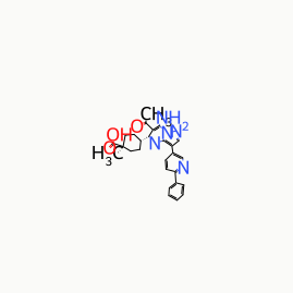 CC(=O)c1c(N)n2ncc(-c3ccc(-c4ccccc4)nc3)c2nc1[C@H]1CC[C@](C)(C(=O)O)CC1